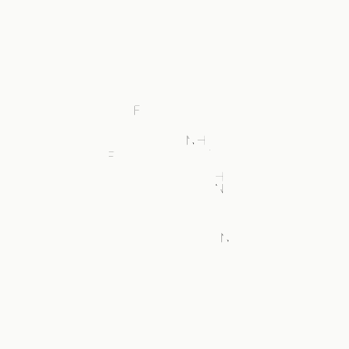 NC(Cc1cnc[nH]1)C(F)F